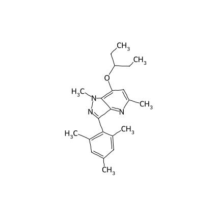 CCC(CC)Oc1cc(C)nc2c(-c3c(C)cc(C)cc3C)nn(C)c12